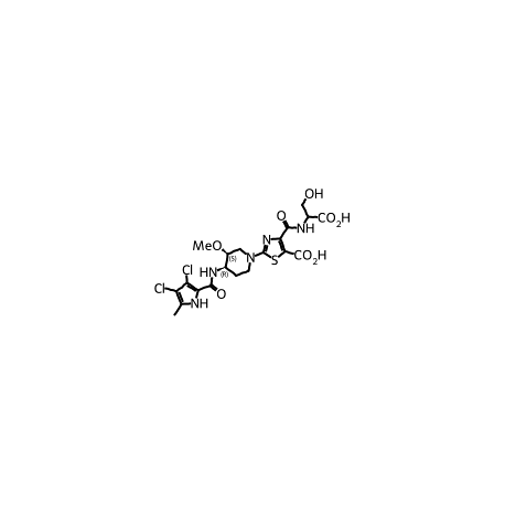 CO[C@H]1CN(c2nc(C(=O)NC(CO)C(=O)O)c(C(=O)O)s2)CC[C@H]1NC(=O)c1[nH]c(C)c(Cl)c1Cl